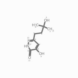 CC(C)(O)CCc1cc(O)c(=O)[nH]n1